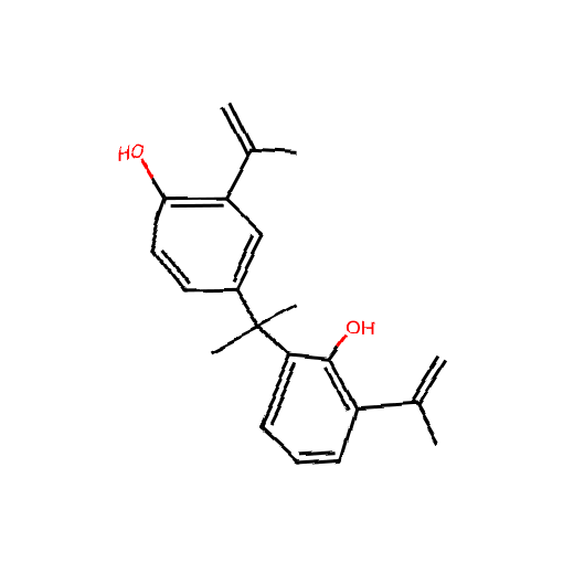 C=C(C)c1cc(C(C)(C)c2cccc(C(=C)C)c2O)ccc1O